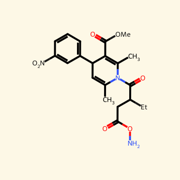 CCC(CC(=O)ON)C(=O)N1C(C)=CC(c2cccc([N+](=O)[O-])c2)C(C(=O)OC)=C1C